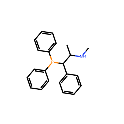 CNC(C)C(c1ccccc1)P(c1ccccc1)c1ccccc1